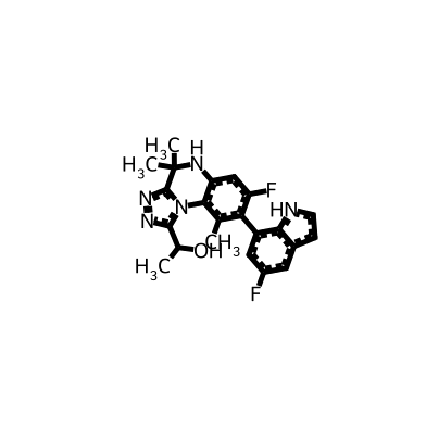 Cc1c(-c2cc(F)cc3cc[nH]c23)c(F)cc2c1-n1c(C(C)O)nnc1C(C)(C)N2